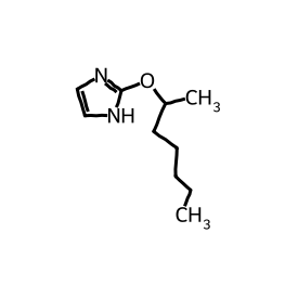 CCCCCC(C)Oc1ncc[nH]1